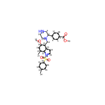 COC(=O)c1ccc(C2CNCCN2Cc2c(OC)cc(C)c3c2ccn3S(=O)(=O)c2ccc(C)cc2)cc1